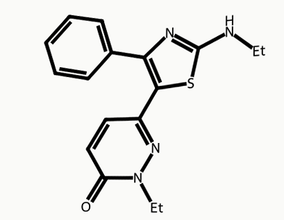 CCNc1nc(-c2ccccc2)c(-c2ccc(=O)n(CC)n2)s1